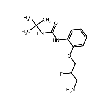 CC(C)(C)NC(=O)Nc1ccccc1OCC(F)CN